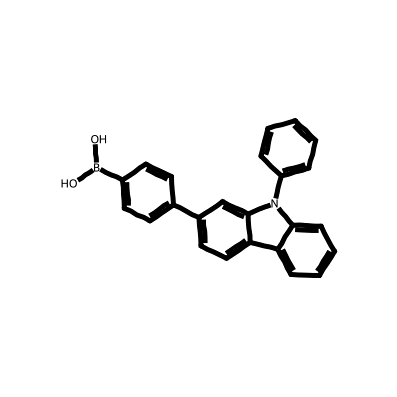 OB(O)c1ccc(-c2ccc3c4ccccc4n(-c4ccccc4)c3c2)cc1